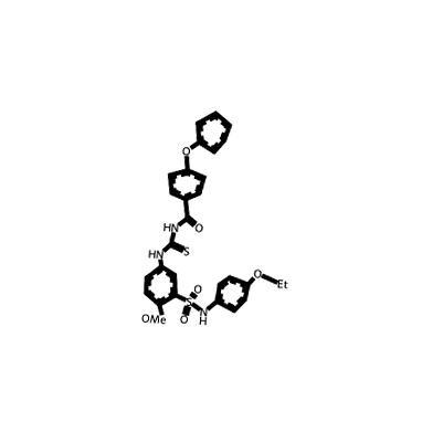 CCOc1ccc(NS(=O)(=O)c2cc(NC(=S)NC(=O)c3ccc(Oc4ccccc4)cc3)ccc2OC)cc1